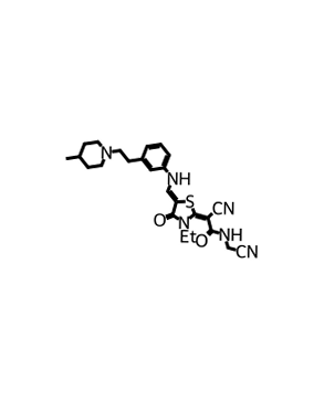 CCn1c(=C(C#N)C(=O)NCC#N)sc(=CNc2cccc(CCN3CCC(C)CC3)c2)c1=O